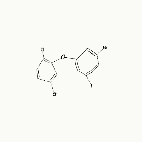 CCc1ccc(Cl)c(Oc2cc(F)cc(Br)c2)c1